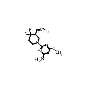 C=CC1CN(c2nc(N)cc(OC)n2)CCC1(F)F